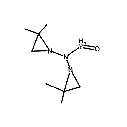 CC1(C)CN1N([PH2]=O)N1CC1(C)C